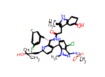 Cc1[nH]c2ccc(O)cc2c1CC(=O)N[C@@H](Cc1cc(F)cc(F)c1)c1nc(C#CC(C)(C)O)ccc1-c1ccc(Cl)c2c(NS(C)(=O)=O)nn(C)c12